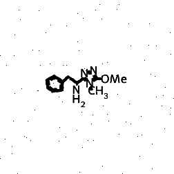 COc1nnc([C@H](N)Cc2ccccc2)n1C